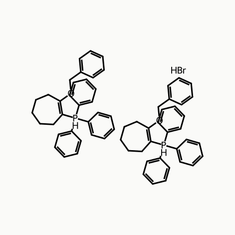 Br.c1ccc(COC2=C([PH](c3ccccc3)(c3ccccc3)c3ccccc3)CCCCC2)cc1.c1ccc(COC2=C([PH](c3ccccc3)(c3ccccc3)c3ccccc3)CCCCC2)cc1